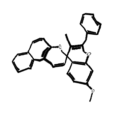 COc1ccc2c(c1)OC(c1ccccc1)=C(C)C21C=Cc2c(ccc3ccccc23)O1